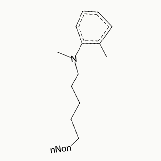 CCCCCCCCCCCCCCN(C)c1ccccc1C